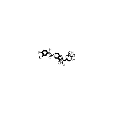 Cc1c2c(nn1CC(CS)ON(C)C=O)CCN(C(=O)Nc1ccc(F)c(Cl)c1)C2